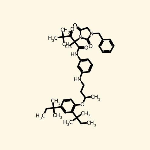 CCC(C)(C)c1ccc(OC(C)CCNc2cccc(NC(=O)C(Cl)(C(=O)C(C)(C)C)N3C(=O)CN(Cc4ccccc4)C3=O)c2)c(C(C)(C)CC)c1